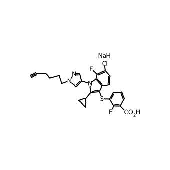 C#CCCCCn1cc(-n2c(C3CC3)c(Sc3cccc(C(=O)O)c3F)c3ccc(Cl)c(F)c32)cn1.[NaH]